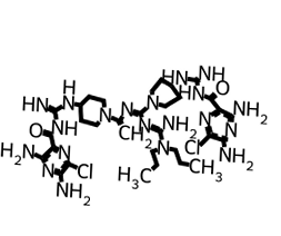 C=C(/N=C(\N=C(/N)N(CCC)CCC)N1CCC(NC(=N)NC(=O)c2nc(Cl)c(N)nc2N)CC1)N1CCC(NC(=N)NC(=O)c2nc(Cl)c(N)nc2N)CC1